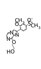 COc1cc([S+](C)[O-])ccc1-c1cn2ccnc(OCCO)c2n1